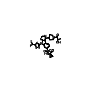 CC(O)C(=O)N1CCC(c2ncnc3c2c2ccc(S(=O)(=O)NC4(C#N)CC4)cc2n3-c2nnc(C(F)F)s2)CC1